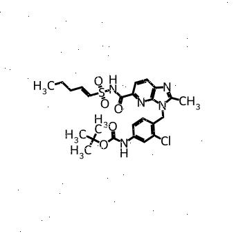 CCC/C=C/S(=O)(=O)NC(=O)c1ccc2nc(C)n(Cc3ccc(NC(=O)OC(C)(C)C)cc3Cl)c2n1